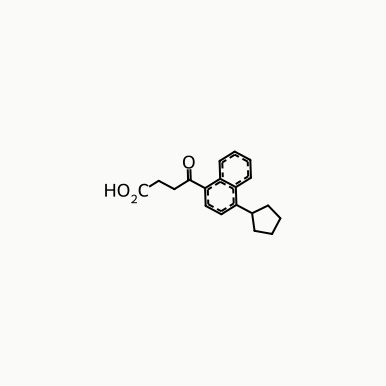 O=C(O)CCC(=O)c1ccc(C2CCCC2)c2ccccc12